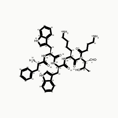 C[C@@H](O)[C@@H]([C]=O)N(C(=O)CCCN)C(=O)[C@H](CCCCN)NC(=O)[C@@H](Cc1c[nH]c2ccccc12)NC(=O)[C@H](Cc1c[nH]c2ccccc12)NC(=O)[C@@H](N)Cc1ccccc1